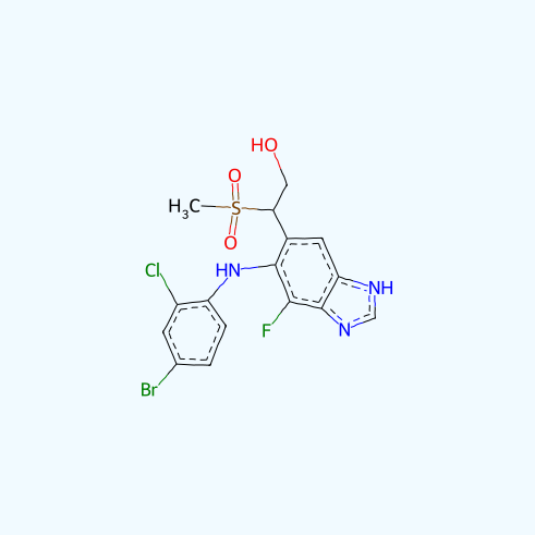 CS(=O)(=O)C(CO)c1cc2[nH]cnc2c(F)c1Nc1ccc(Br)cc1Cl